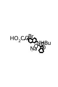 CCCCc1oc2ccccc2c1C(=O)Nc1ccc2c(Br)c(OCC(=O)O)ccc2c1.[Na]